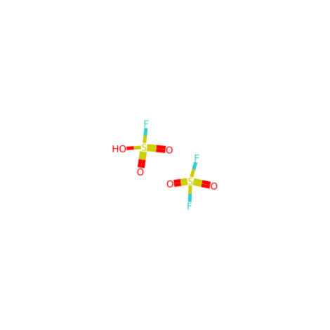 O=S(=O)(F)F.O=S(=O)(O)F